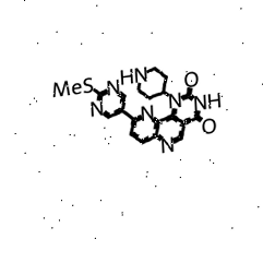 CSc1ncc(-c2ccc3ncc4c(=O)[nH]c(=O)n(C5CCNCC5)c4c3n2)cn1